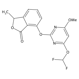 COc1cc(OC(F)F)nc(Oc2cccc3c2C(=O)OC3C)n1